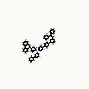 c1ccc(-c2cccc(N(c3ccc(-c4ccc(-c5cccc(-c6oc7ccccc7c6-c6ccccc6)c5)cc4)cc3)c3ccc(-c4cc5ccccc5c5ccccc45)cc3)c2)cc1